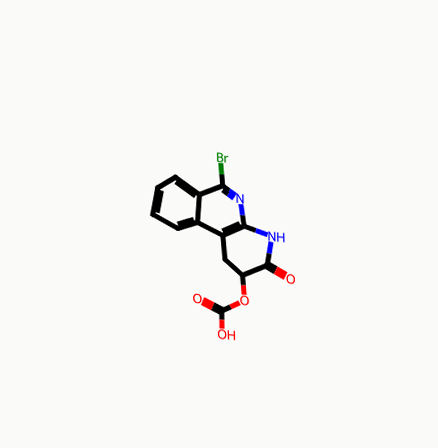 O=C(O)OC1Cc2c(nc(Br)c3ccccc23)NC1=O